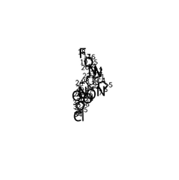 O=C(c1ccccn1)C12Cc3cnn(-c4ccc(F)cc4)c3C=C1CCN(S(=O)(=O)c1ccc(Cl)cc1)C2